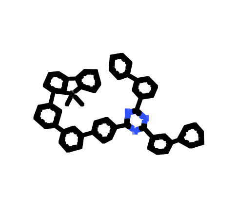 C[Si]1(C)c2ccccc2-c2cccc(-c3cccc(-c4cccc(-c5ccc(-c6nc(-c7cccc(-c8ccccc8)c7)nc(-c7cccc(-c8ccccc8)c7)n6)cc5)c4)c3)c21